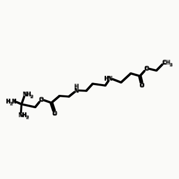 CCOC(=O)CCNCCCNCCC(=O)OCC(N)(N)N